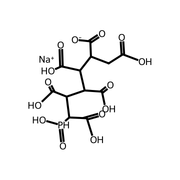 O=C(O)CC(C(=O)[O-])C(C(=O)O)C(C(=O)O)C(C(=O)O)C(C(=O)O)[PH](=O)O.[Na+]